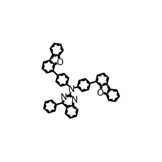 c1ccc(-c2nc(N(c3ccc(-c4cccc5c4oc4ccccc45)cc3)c3ccc(-c4cccc5c4oc4ccccc45)cc3)nc3ccccc23)cc1